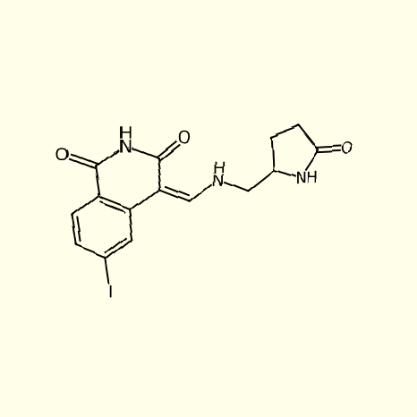 O=C1CCC(CNC=C2C(=O)NC(=O)c3ccc(I)cc32)N1